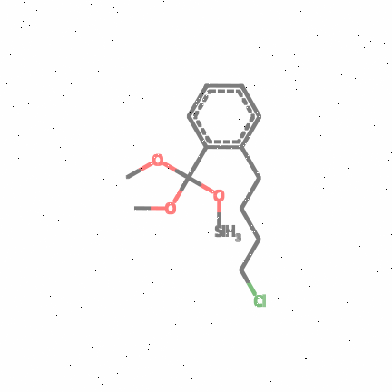 COC(OC)(O[SiH3])c1ccccc1CCCCCl